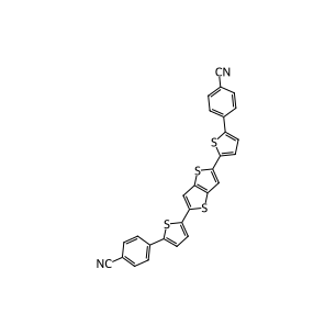 N#Cc1ccc(-c2ccc(-c3cc4sc(-c5ccc(-c6ccc(C#N)cc6)s5)cc4s3)s2)cc1